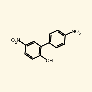 O=[N+]([O-])c1ccc(-c2cc([N+](=O)[O-])ccc2O)cc1